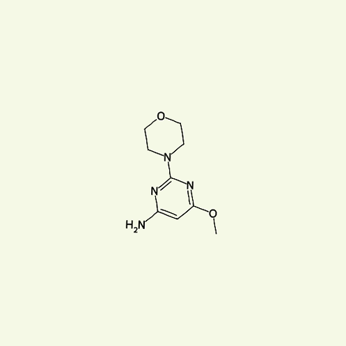 COc1cc(N)nc(N2CCOCC2)n1